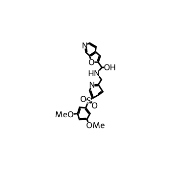 COc1cc(OC)cc(S(=O)(=O)c2ccc(CNC(O)c3cc4ccncc4o3)nc2)c1